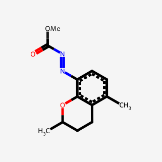 COC(=O)/N=N/c1ccc(C)c2c1OC(C)CC2